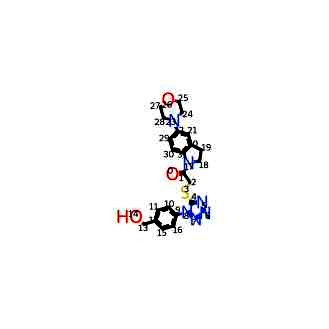 O=C(CSc1nnnn1-c1ccc(CO)cc1)N1CCc2cc(N3CCOCC3)ccc21